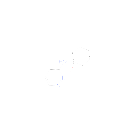 OC1(Nc2cccnn2)CCCCC1